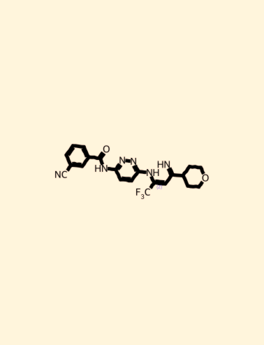 N#Cc1cccc(C(=O)Nc2ccc(N/C(=C\C(=N)C3CCOCC3)C(F)(F)F)nn2)c1